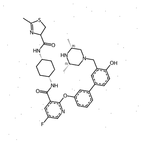 CC1=NC(C(=O)N[C@H]2CC[C@@H](NC(=O)c3cc(F)cnc3Oc3cccc(-c4ccc(O)c(CN5C[C@@H](C)N[C@@H](C)C5)c4)c3)CC2)CS1